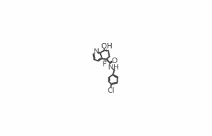 O=C(NCc1ccc(Cl)cc1)[C@]1(F)CC[C@H](O)c2ncccc21